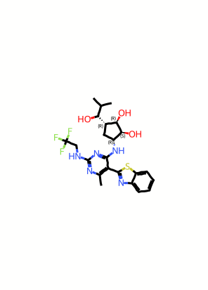 Cc1nc(NCC(F)(F)F)nc(N[C@@H]2C[C@H](C(O)C(C)C)[C@@H](O)[C@H]2O)c1-c1nc2ccccc2s1